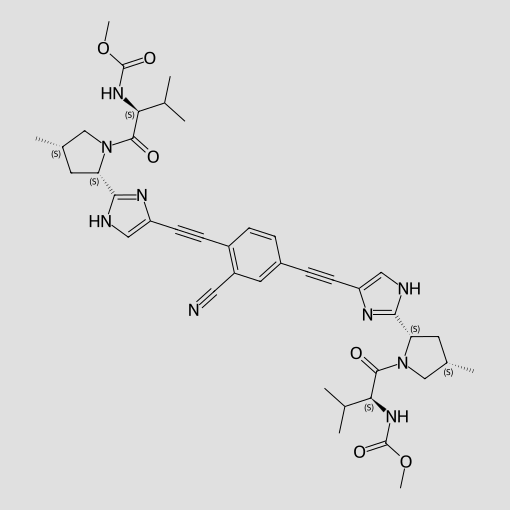 COC(=O)N[C@H](C(=O)N1C[C@@H](C)C[C@H]1c1nc(C#Cc2ccc(C#Cc3c[nH]c([C@@H]4C[C@H](C)CN4C(=O)[C@@H](NC(=O)OC)C(C)C)n3)c(C#N)c2)c[nH]1)C(C)C